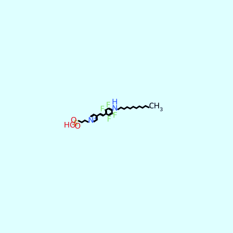 CCCCCCCCCCCCNc1c(F)c(F)c(C=Cc2cc[n+](CCCCS(=O)(=O)O)cc2)c(F)c1F